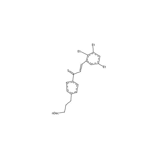 CCCCCCCCCCCCCc1ccc(C(=S)C=Cc2cc(CC)cc(CC)c2CC)cc1